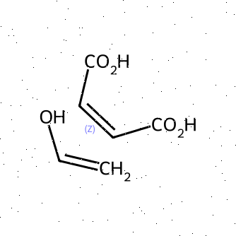 C=CO.O=C(O)/C=C\C(=O)O